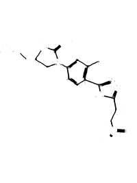 CC(=O)NC[C@H]1CN(c2ccc(-c3nnc(CC[SH](=O)=O)s3)c(F)c2)C(=O)O1